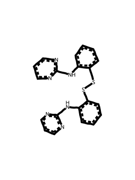 c1cnc(Nc2ccccc2SSc2ccccc2Nc2ncccn2)nc1